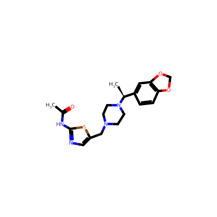 CC(=O)Nc1ncc(CN2CCN([C@@H](C)c3ccc4c(c3)OCO4)CC2)s1